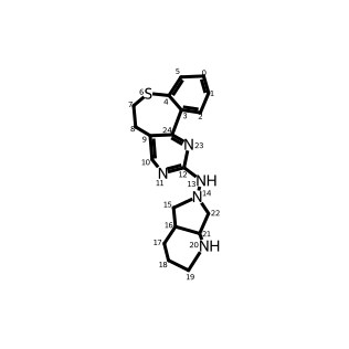 c1ccc2c(c1)SCCc1cnc(NN3CC4CCCNC4C3)nc1-2